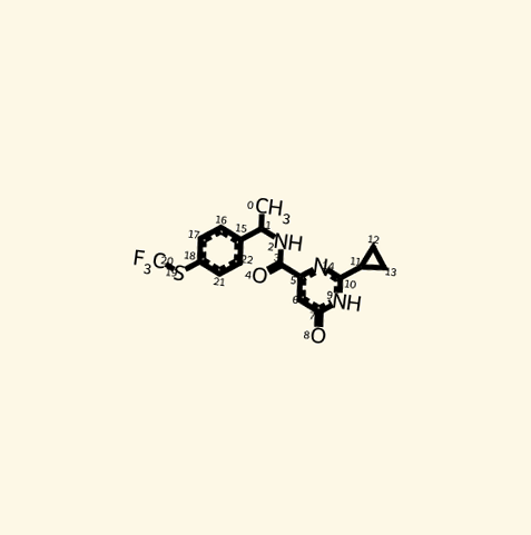 CC(NC(=O)c1cc(=O)[nH]c(C2CC2)n1)c1ccc(SC(F)(F)F)cc1